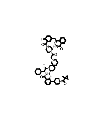 CC1(C(=O)N2CCC(c3cccc(C(=O)N[C@@H](C(=O)N4CCCC5(CCCN(CC(=O)N6CCN(C(=O)c7cc(Cc8n[nH]c(=O)c9ccccc89)ccc7F)CC6)C5)C4)C4CCCCC4)c3F)CC2)CC1